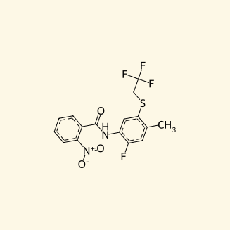 Cc1cc(F)c(NC(=O)c2ccccc2[N+](=O)[O-])cc1SCC(F)(F)F